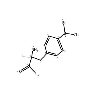 CC(N)(Cc1ccc(B(Cl)Br)cc1)C(=O)I